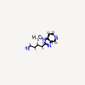 Cn1c(CCCC[N])nc2cnccc21